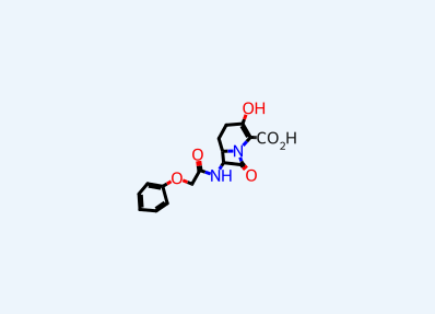 O=C(COc1ccccc1)NC1C(=O)N2C(C(=O)O)=C(O)CCC12